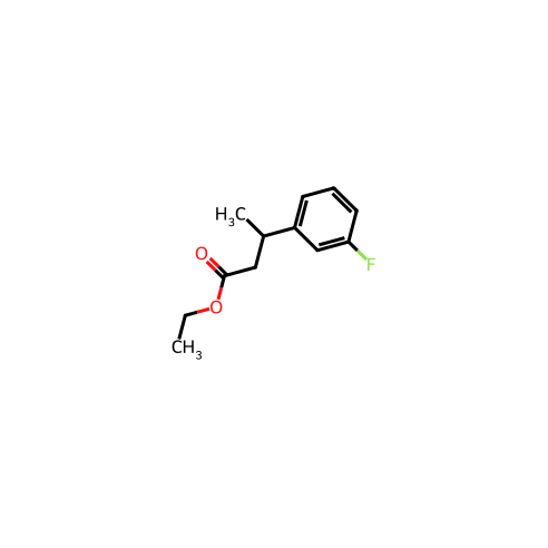 CCOC(=O)CC(C)c1cccc(F)c1